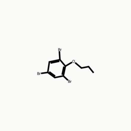 CCCOc1c(Br)cc(Br)cc1Br